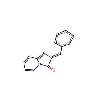 O=C1/C(=C/c2ccccc2)N=C2C=CC=CN12